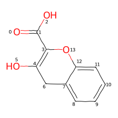 O=C(O)C1=C(O)Cc2ccccc2O1